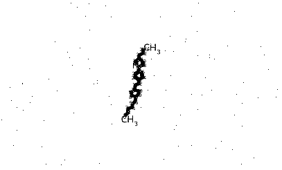 CCCCCCCC1CCC(CCc2ccc(-c3ccc(CCCC)cn3)cc2)CC1